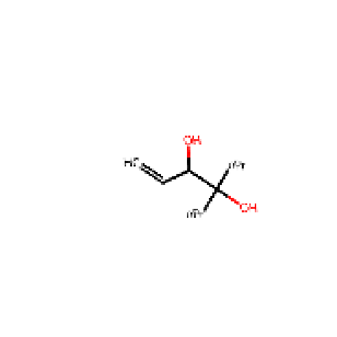 [CH]=CC(O)C(O)(CCC)CCC